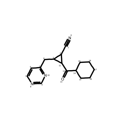 N#CC1C(Cc2ccncn2)C1C(=O)C1CCCCC1